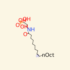 CCCCCCCC/C=C\CCCCCCCC(=O)NCCC(O)P(=O)(O)O